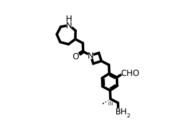 BC[C@H](C)c1ccc(CC2CN(C(=O)CC3CCCCNC3)C2)c(C=O)c1